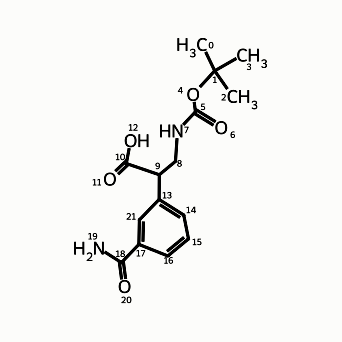 CC(C)(C)OC(=O)NCC(C(=O)O)c1cccc(C(N)=O)c1